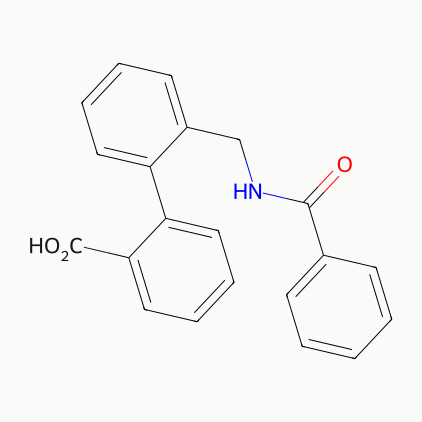 O=C(NCc1ccccc1-c1ccccc1C(=O)O)c1ccccc1